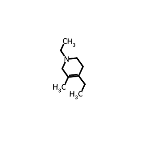 CCC1=C(C)CN(CC)CC1